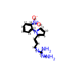 N/N=C(N)/N=C\C=C\c1cccn1-c1ccccc1[N+](=O)[O-]